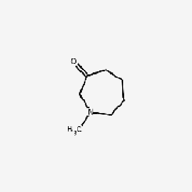 CN1CCCCC(=O)C1